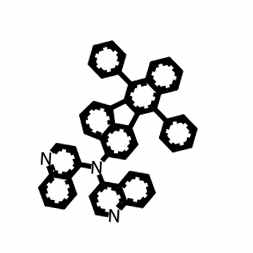 c1ccc(-c2c3c(c(-c4ccccc4)c4ccccc24)-c2ccc(N(c4ccnc5ccccc45)c4ccnc5ccccc45)c4cccc-3c24)cc1